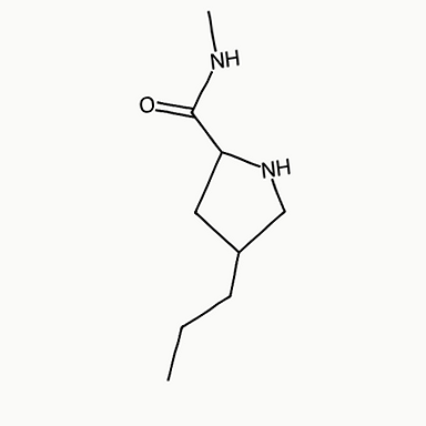 CCCC1CNC(C(=O)NC)C1